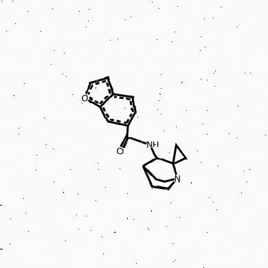 O=C(NC1C2CCN(CC2)C12CC2)c1ccc2ccoc2c1